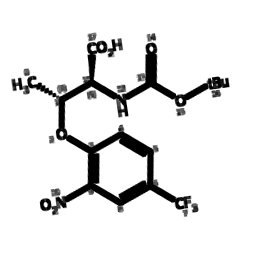 C[C@@H](Oc1ccc(C(F)(F)F)cc1[N+](=O)[O-])[C@H](NC(=O)OC(C)(C)C)C(=O)O